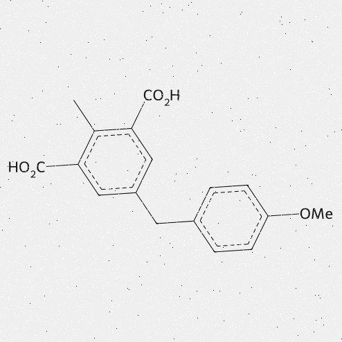 COc1ccc(Cc2cc(C(=O)O)c(C)c(C(=O)O)c2)cc1